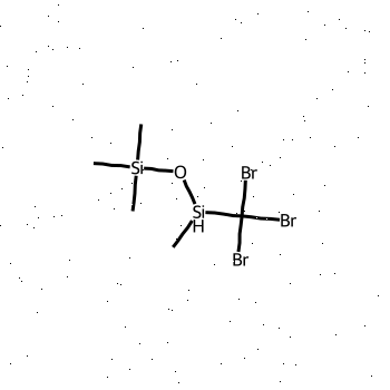 C[SiH](O[Si](C)(C)C)C(Br)(Br)Br